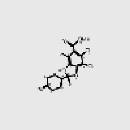 COC(=O)c1c(C)c2c(c(Cl)c1Cl)OC(C)(C1CCC(=O)CC1)O2